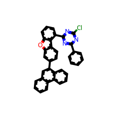 Clc1nc(-c2ccccc2)nc(-c2cccc3oc4cc(-c5cc6ccccc6c6ccccc56)ccc4c23)n1